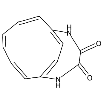 O=C1Nc2ccccccc(cc2)NC1=O